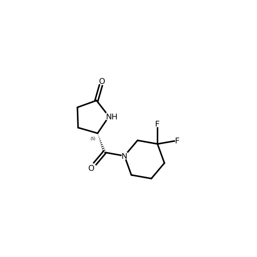 O=C1CC[C@@H](C(=O)N2CCCC(F)(F)C2)N1